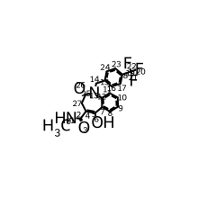 CNC(=O)C1=C(O)c2ccccc2N(Cc2ccc(C(F)(F)F)cc2)C(=O)C1